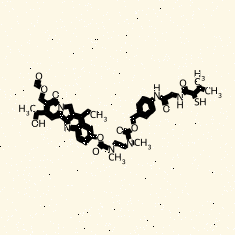 CCc1c2c(nc3ccc(OC(=O)N(C)CCN(C)C(=O)OCc4ccc(NC(=O)CNC(=O)C(S)C(C)C)cc4)cc13)-c1cc(C(C)O)c(COC=O)c(=O)n1C2